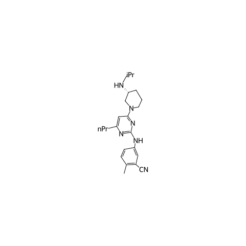 CCCc1cc(N2CCC[C@@H](NC(C)C)C2)nc(Nc2ccc(C)c(C#N)c2)n1